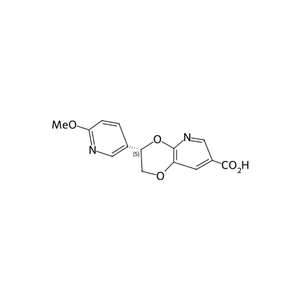 COc1ccc([C@H]2COc3cc(C(=O)O)cnc3O2)cn1